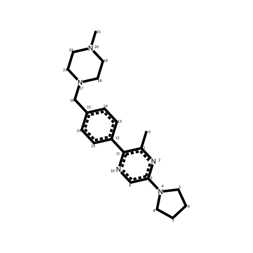 Cc1nc(N2CCCC2)cnc1-c1ccc(CN2CCN(C)CC2)cc1